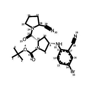 CC(C)(C)OC(=O)N1C[C@@H](Nc2ccc(Br)cc2C#N)C[C@H]1C(=O)N1CCCC1C#N